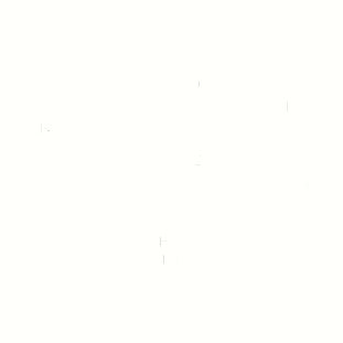 Cc1cc2c(cc1C(C)(C)C)-c1cc(C(C)(C)C)c(C)[c]([Zr]([C]3=CC=CC3)=[C](c3cccc(Cl)c3)c3cccc(Cl)c3)c1C2.Cl.Cl